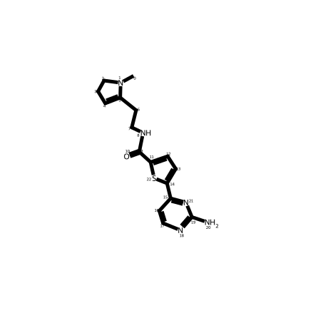 CN1CCC=C1CCNC(=O)c1ccc(-c2ccnc(N)n2)s1